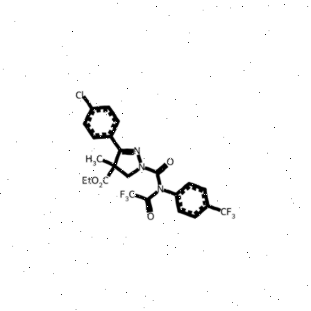 CCOC(=O)C1(C)CN(C(=O)N(C(=O)C(F)(F)F)c2ccc(C(F)(F)F)cc2)N=C1c1ccc(Cl)cc1